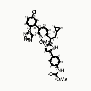 COC(=O)Nc1ccc(-c2cnc(C(CC3CC3)c3ccc(-c4cc(Cl)ccc4-n4cnnn4)c[n+]3OC)[nH]2)cc1